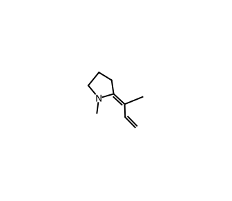 C=C/C(C)=C1/CCCN1C